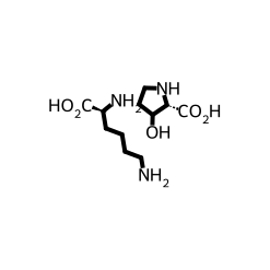 NCCCC[C@H](N)C(=O)O.O=C(O)[C@H]1NCCC1O